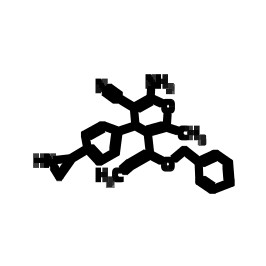 C=C=C(OCc1ccccc1)C1=C(C)OC(N)=C(C#N)C1c1ccc(C2CN2)cc1